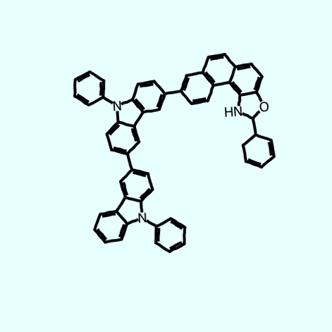 C1=CCC(C2Nc3c(ccc4ccc5cc(-c6ccc7c(c6)c6cc(-c8ccc9c(c8)c8ccccc8n9-c8ccccc8)ccc6n7-c6ccccc6)ccc5c34)O2)C=C1